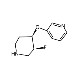 F[C@H]1CNCC[C@H]1Oc1cccnc1